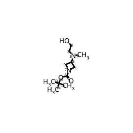 CN(CCO)C1CN(C(=O)OC(C)(C)C)C1